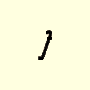 CC/C=C\C/C=C\C/C=C\CCCCCCCC(=O)OCCCCCCCCCCCCCCCCCCCCCCCCCCCCCCCC(C)CC